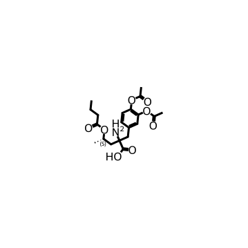 CCCC(=O)O[C@@H](C)CC(N)(Cc1ccc(OC(C)=O)c(OC(C)=O)c1)C(=O)O